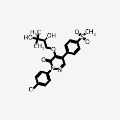 CC(C)(O)[C@@H](O)COc1c(-c2ccc(S(C)(=O)=O)cc2)cnn(-c2ccc(Cl)cc2)c1=O